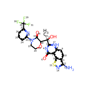 C[C@](O)(c1nc(=O)c2c(ccc3c(N)nsc32)[nH]1)C1OCCN(c2cccc(C(F)(F)F)n2)C1=O